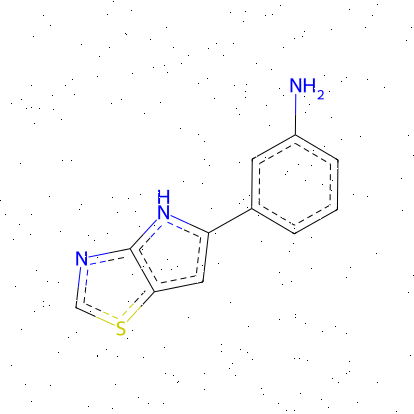 Nc1cccc(-c2cc3scnc3[nH]2)c1